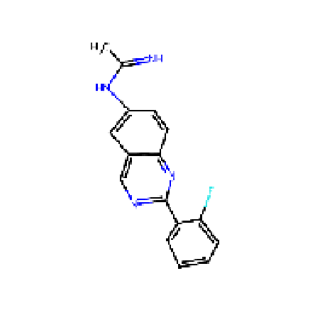 CC(=N)Nc1ccc2nc(-c3ccccc3F)ncc2c1